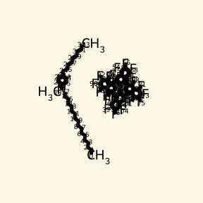 CCCCCCCCCCCCCCCCCC[NH+](C)c1ccc(CCCCCCCCCC)cc1.Fc1c(F)c(F)c2c(F)c([B-](c3c(F)c(F)c4c(F)c(F)c(F)c(F)c4c3F)(c3c(F)c(F)c4c(F)c(F)c(F)c(F)c4c3F)c3c(F)c(F)c4c(F)c(F)c(F)c(F)c4c3F)c(F)c(F)c2c1F